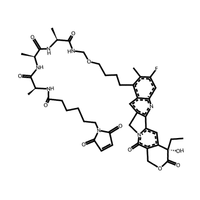 CC[C@@]1(O)C(=O)OCc2c1cc1n(c2=O)Cc2cc3c(CCCCOCNC(=O)[C@H](C)NC(=O)[C@H](C)NC(=O)[C@H](C)NC(=O)CCCCCN4C(=O)C=CC4=O)c(C)c(F)cc3nc2-1